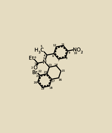 CCC(=O)N(C(C)c1ccc([N+](=O)[O-])cc1)C1CCCc2cccc(Br)c21